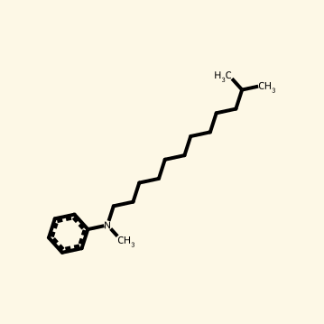 CC(C)CCCCCCCCCCN(C)c1ccccc1